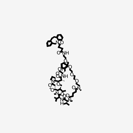 CC[C@H](C)[C@@H]([C@@H](CC(=O)N1CCC[C@H]1[C@H](OC)[C@@H](C)C(=O)N[C@@H](Cc1ccccc1)C(=O)O)OC)N(C)C(=O)[C@@H](NC(=O)[C@H](C(C)C)N(C)C(=O)CCCC(=O)N(C)CCOCCOCCOCCOCCNC(=O)CCC(=O)N1Cc2ccccc2CCc2ccccc21)C(C)C